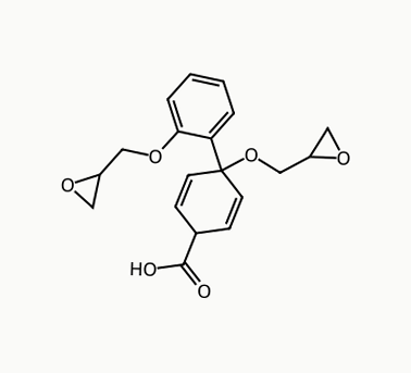 O=C(O)C1C=CC(OCC2CO2)(c2ccccc2OCC2CO2)C=C1